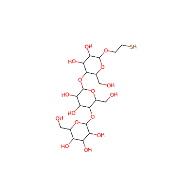 OCC1OC(OC2C(CO)OC(OC3C(CO)OC(OCCS)C(O)C3O)C(O)C2O)C(O)C(O)C1O